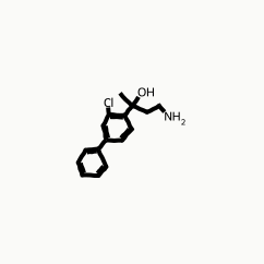 CC(O)(CCN)c1ccc(-c2ccccc2)cc1Cl